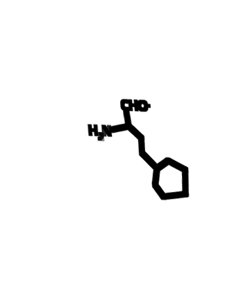 NC([C]=O)CCC1CCCCC1